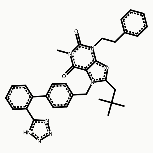 Cn1c(=O)c2c(nc(CC(C)(C)C)n2Cc2ccc(-c3ccccc3-c3nnn[nH]3)cc2)n(CCc2ccccc2)c1=O